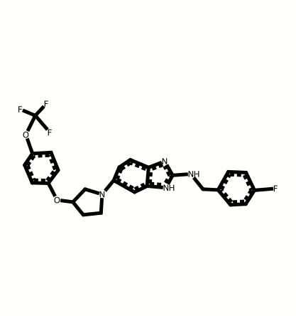 Fc1ccc(CNc2nc3ccc(N4CCC(Oc5ccc(OC(F)(F)F)cc5)C4)cc3[nH]2)cc1